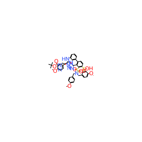 COc1ccc(CN(Cc2ccc(OC)cc2)S(=O)(=O)c2c(S(=O)O)ccc(-c3cccc4[nH]c(CCNC(=O)OC(C)(C)C)nc34)c2-c2nnn(Cc3ccc(OC)cc3)n2)cc1